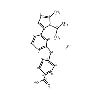 Cc1ncc(-c2ccnc(Nc3ccc(C(=O)[O-])nc3)n2)n1C(C)C.[Li+]